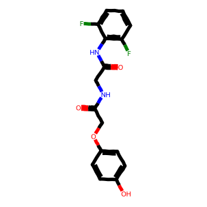 O=C(COc1ccc(O)cc1)NCC(=O)Nc1c(F)cccc1F